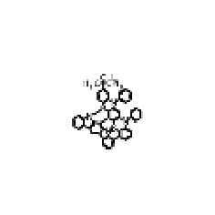 CC(C)(C)c1ccc2c(c1)N(c1ccccc1)c1cc3c4c5c1B2n1c2ccccc2c2cc6c7cccc8c7n(c6c-5c21)B4c1c-8cccc1N3c1ccccc1